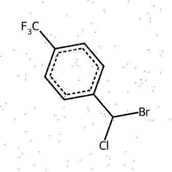 FC(F)(F)c1ccc(C(Cl)Br)cc1